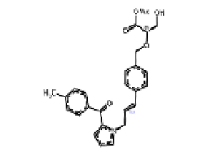 COC(=O)[C@@H](CO)OCc1ccc(/C=C/Cn2cccc2C(=O)c2ccc(C)cc2)cc1